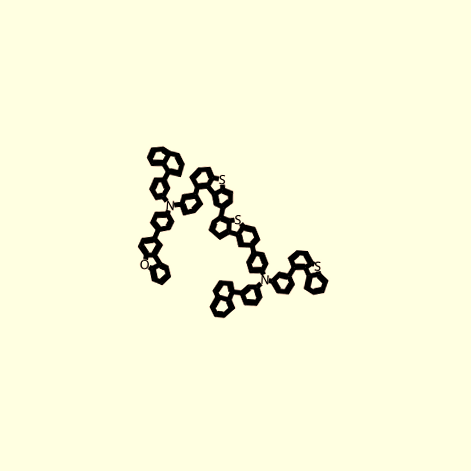 c1cc(-c2cccc3ccccc23)cc(N(c2ccc(-c3ccc4sc5c(-c6ccc7sc8cccc(-c9cccc(N(c%10ccc(-c%11ccc%12oc%13ccccc%13c%12c%11)cc%10)c%10cccc(-c%11cccc%12ccccc%11%12)c%10)c9)c8c7c6)cccc5c4c3)cc2)c2cccc(-c3cccc4sc5ccccc5c34)c2)c1